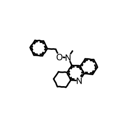 CN(OCc1ccccc1)c1c2c(nc3ccccc13)CCCC2